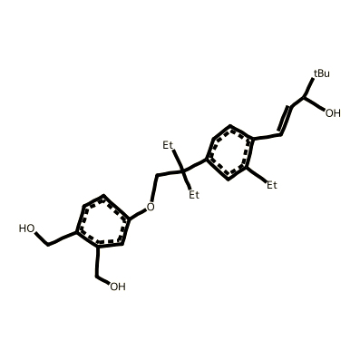 CCc1cc(C(CC)(CC)COc2ccc(CO)c(CO)c2)ccc1C=CC(O)C(C)(C)C